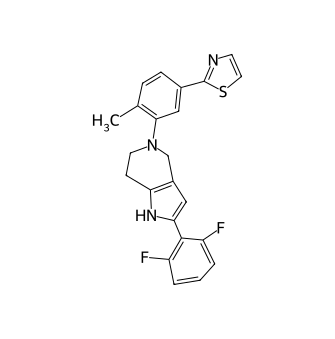 Cc1ccc(-c2nccs2)cc1N1CCc2[nH]c(-c3c(F)cccc3F)cc2C1